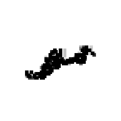 COc1ccc(S(=O)(=O)C2(CCCC#Cc3cccc(N)c3)CNCS2)cc1